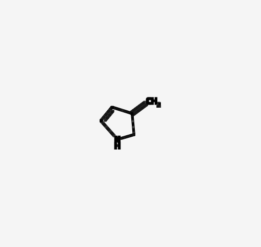 C=C1C=CNC1